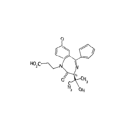 CC(C)(O)[C@@H]1N=C(c2ccccc2)c2cc(Cl)ccc2N(CCC(=O)O)C1=O